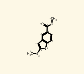 COC(=O)c1ccc2sc(SC)cc2c1